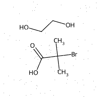 CC(C)(Br)C(=O)O.OCCO